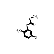 COC(=O)Oc1cc(Cl)ccc1C